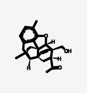 CC(=O)[C@H]1C[C@@]23C=C[C@]1(CO)[C@@H]1Oc4c(C)ccc5c4[C@@]12CCN(C)[C@@H]3C5